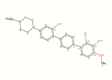 CCCCCCCC1CCC(c2ccc(-c3ccc(-c4ccc(OCCCC)c(F)c4F)cc3)c(F)c2)CC1